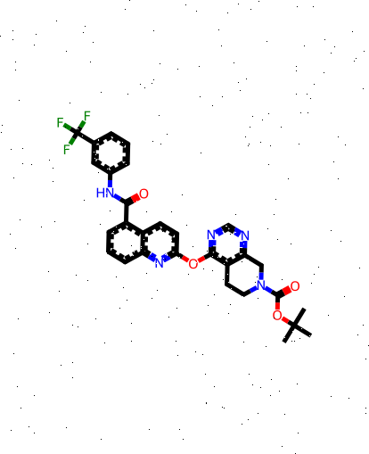 CC(C)(C)OC(=O)N1CCc2c(ncnc2Oc2ccc3c(C(=O)Nc4cccc(C(F)(F)F)c4)cccc3n2)C1